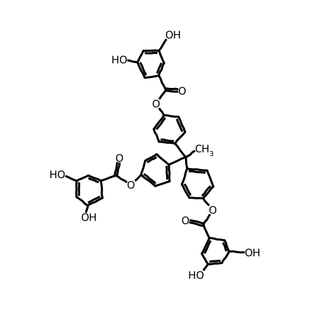 CC(c1ccc(OC(=O)c2cc(O)cc(O)c2)cc1)(c1ccc(OC(=O)c2cc(O)cc(O)c2)cc1)c1ccc(OC(=O)c2cc(O)cc(O)c2)cc1